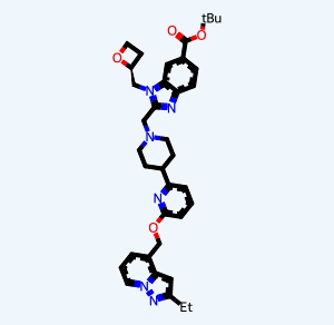 CCc1cc2c(COc3cccc(C4CCN(Cc5nc6ccc(C(=O)OC(C)(C)C)cc6n5C[C@@H]5CCO5)CC4)n3)cccn2n1